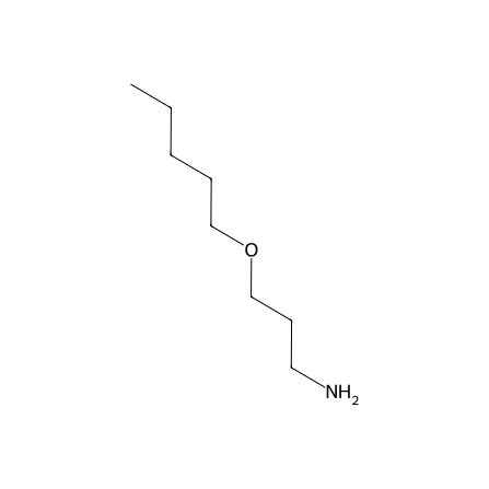 CCCCCOCCCN